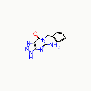 Nc1nc2[nH]nnc2c(=O)n1Cc1ccccc1